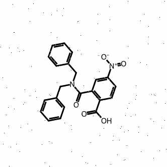 O=C(O)c1ccc([N+](=O)[O-])cc1C(=O)N(Cc1ccccc1)Cc1ccccc1